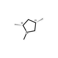 C[C@H]1C[C@@H](C)N(C)C1